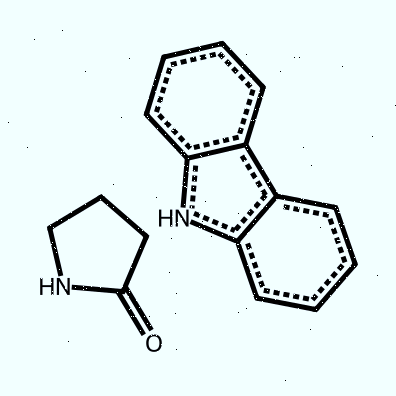 O=C1CCCN1.c1ccc2c(c1)[nH]c1ccccc12